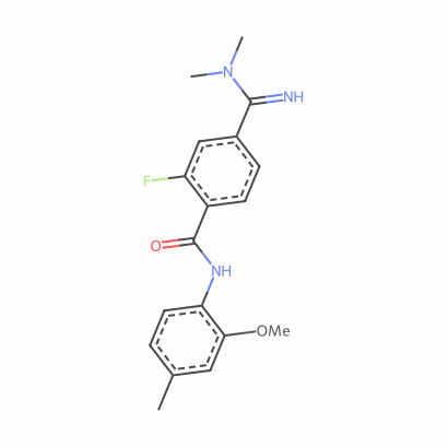 COc1cc(C)ccc1NC(=O)c1ccc(C(=N)N(C)C)cc1F